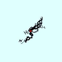 C[C@]12C=CC(=O)C=C1CC[C@@H]1[C@@H]2[C@@H](O)C[C@@]2(C)[C@H]1C[C@H]1O[C@H](C34CC(Cc5cccc(N)c5)(C3)C4)O[C@]12C(=O)CO